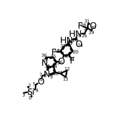 C[Si](C)(C)CCOCn1cc(C2CC2)c2c(Oc3c(F)cc(NC(=O)NCC4(F)COC4)cc3F)ccnc21